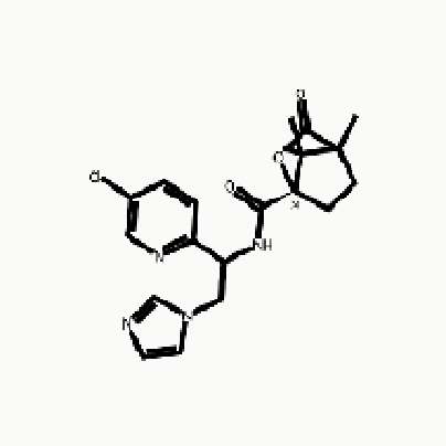 CC12CC[C@](C(=O)NC(Cn3ccnc3)c3ccc(Cl)cn3)(OC1=O)C2(C)C